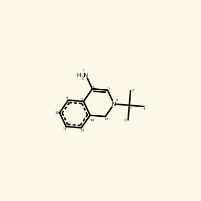 CC(C)(C)N1C=C(N)c2ccccc2C1